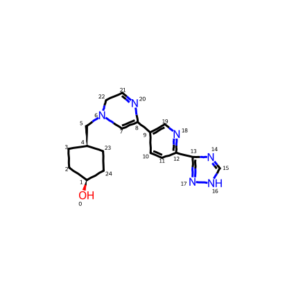 O[C@H]1CC[C@@H](CN2C=C(c3ccc(-c4nc[nH]n4)nc3)N=CC2)CC1